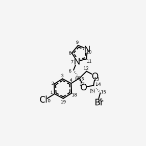 Clc1ccc([C@@]2(Cn3ccnc3)CO[C@H](CBr)O2)cc1